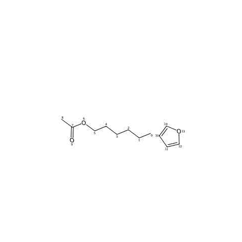 CCCCCCOC(C)=O.c1ccoc1